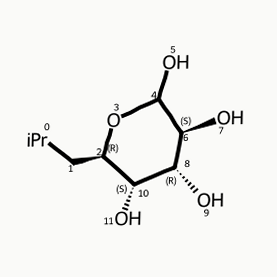 CC(C)C[C@H]1OC(O)[C@@H](O)[C@H](O)[C@@H]1O